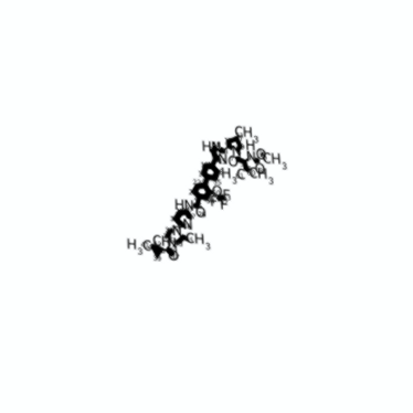 COC(=O)N[C@H](C(=O)N1C[C@@H](C)C[C@H]1c1nc(-c2ccc(-c3ccc(C(=O)Nc4ccc(N5CCN(C(=O)[C@H]6CC6(C)C)CC5C)nc4)cc3OC(F)(F)F)cc2)c[nH]1)C(C)C